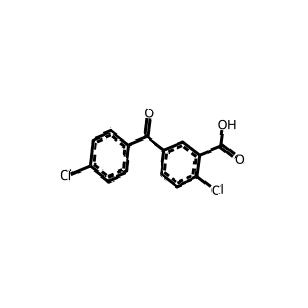 O=C(c1ccc(Cl)cc1)c1ccc(Cl)c(C(=O)O)c1